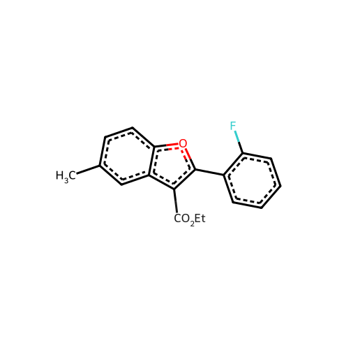 CCOC(=O)c1c(-c2ccccc2F)oc2ccc(C)cc12